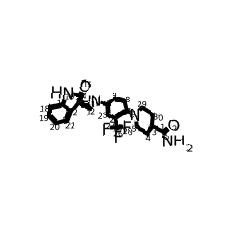 NC(=O)C1CCN(c2ccc(NC=C3C(=O)Nc4ccccc43)cc2C(F)(F)F)CC1